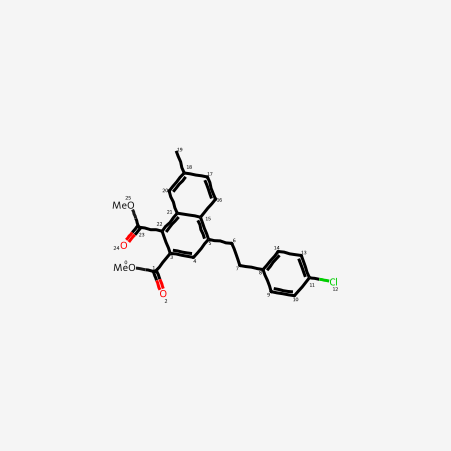 COC(=O)c1cc(CCc2ccc(Cl)cc2)c2ccc(C)cc2c1C(=O)OC